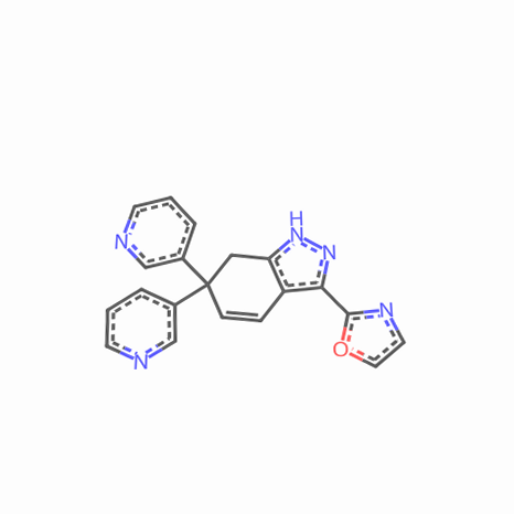 C1=CC(c2cccnc2)(c2cccnc2)Cc2[nH]nc(-c3ncco3)c21